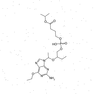 CCOc1nc(N)nc2c1ncn2C(C)OC(CC)COP(=O)(O)OCCCC(=O)OC(C)C